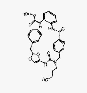 CC(C)(C)OC(=O)Nc1ccccc1NC(=O)c1ccc(CN(CCCO)C(=O)NC2=COC(Cc3ccccc3)O2)cn1